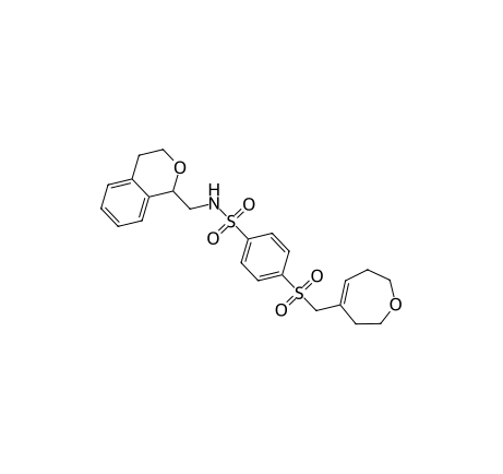 O=S(=O)(CC1=CCCOCC1)c1ccc(S(=O)(=O)NCC2OCCc3ccccc32)cc1